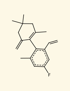 C=Cc1cc(F)cc(C)c1C1=C(C)CC(C)(C)CC1=C